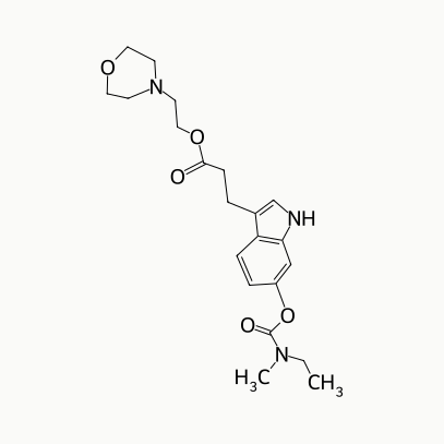 CCN(C)C(=O)Oc1ccc2c(CCC(=O)OCCN3CCOCC3)c[nH]c2c1